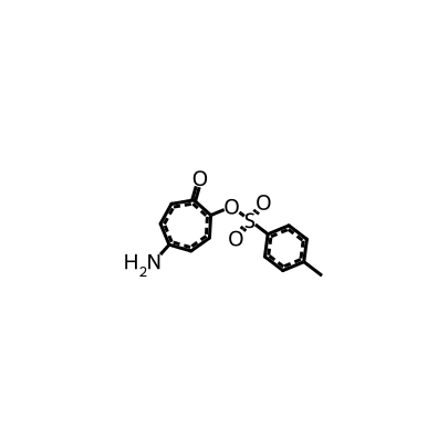 Cc1ccc(S(=O)(=O)Oc2ccc(N)ccc2=O)cc1